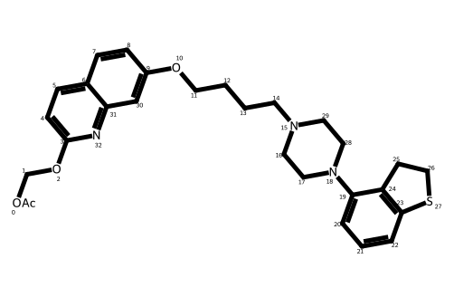 CC(=O)OCOc1ccc2ccc(OCCCCN3CCN(c4cccc5c4CCS5)CC3)cc2n1